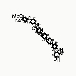 COc1cc(OC2CCC(NC(=O)c3ccc(N4CCC(N5CCN(c6ccc(NC7CCC(=O)NC7=O)cc6F)CC5)CC4)nn3)CC2)ccc1C#N